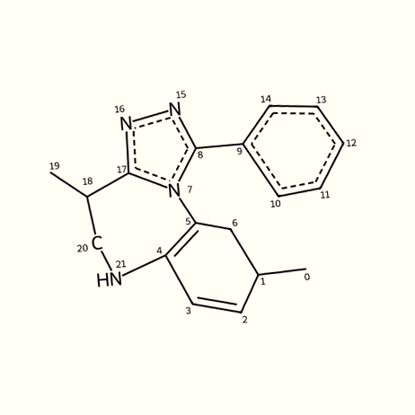 CC1C=CC2=C(C1)n1c(-c3ccccc3)nnc1C(C)CN2